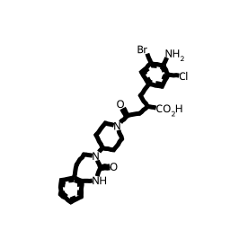 Nc1c(Cl)cc(CC(CC(=O)N2CCC(N3CCc4ccccc4NC3=O)CC2)C(=O)O)cc1Br